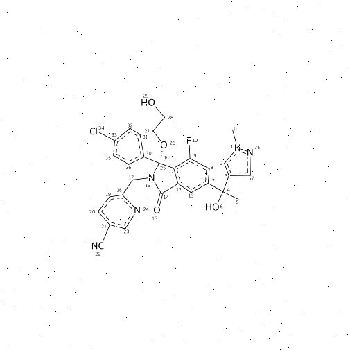 Cn1cc(C(C)(O)c2cc(F)c3c(c2)C(=O)N(Cc2ccc(C#N)cn2)[C@@]3(OCCO)c2ccc(Cl)cc2)cn1